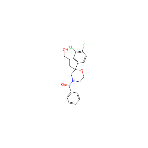 O=C(c1ccccc1)N1CCOC(CCCO)(c2ccc(Cl)c(Cl)c2)C1